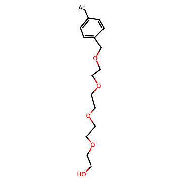 CC(=O)c1ccc(COCCOCCOCCOCCO)cc1